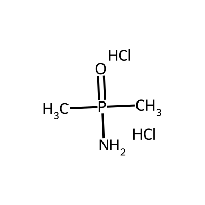 CP(C)(N)=O.Cl.Cl